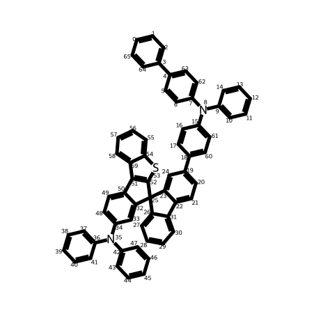 c1ccc(-c2ccc(N(c3ccccc3)c3ccc(-c4ccc5c(c4)C4(c6ccccc6-5)c5cc(N(c6ccccc6)c6ccccc6)ccc5-c5c4sc4ccccc54)cc3)cc2)cc1